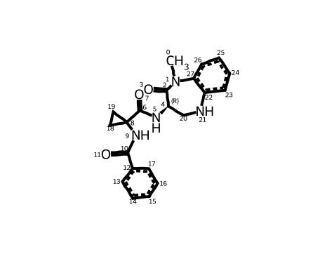 CN1C(=O)[C@H](NC(=O)C2(NC(=O)c3ccccc3)CC2)CNc2ccccc21